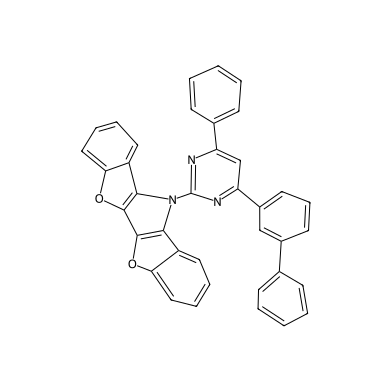 c1ccc(-c2cccc(-c3cc(-c4ccccc4)nc(-n4c5c6ccccc6oc5c5oc6ccccc6c54)n3)c2)cc1